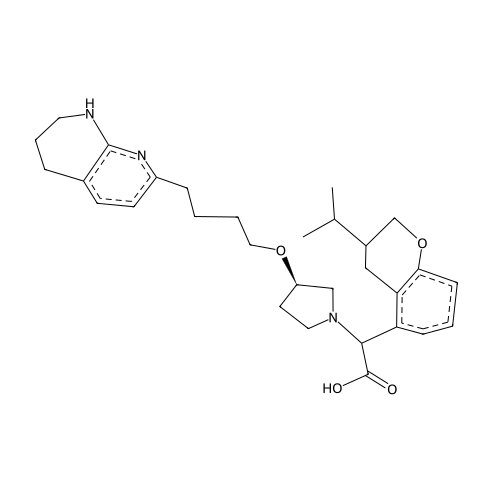 CC(C)C1COc2cccc(C(C(=O)O)N3CC[C@@H](OCCCCc4ccc5c(n4)NCCC5)C3)c2C1